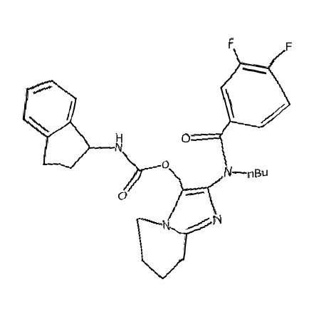 CCCCN(C(=O)c1ccc(F)c(F)c1)c1nc2n(c1OC(=O)NC1CCc3ccccc31)CCCC2